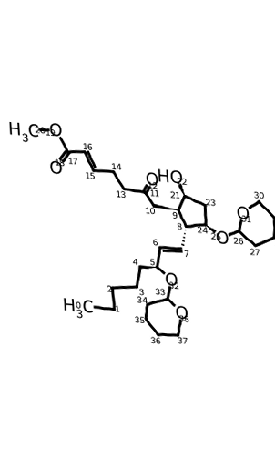 CCCCC[C@@H](/C=C/[C@@H]1[C@@H](CC(=O)CC/C=C/C(=O)OC)[C@@H](O)C[C@H]1OC1CCCCO1)OC1CCCCO1